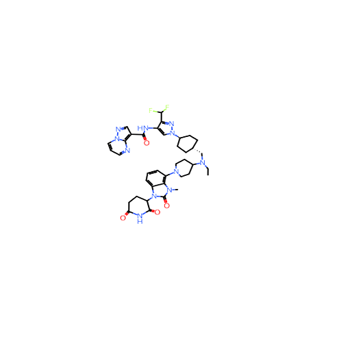 CCN(C[C@H]1CC[C@H](n2cc(NC(=O)c3cnn4cccnc34)c(C(F)F)n2)CC1)C1CCN(c2cccc3c2n(C)c(=O)n3C2CCC(=O)NC2=O)CC1